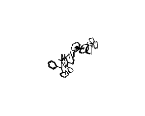 Cc1nc2c(c(=O)n1C(c1ccccc1)c1ccccn1)CCN(C(=O)OCC(Cl)(Cl)Cl)C2